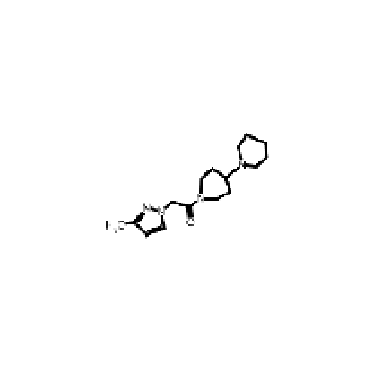 Cc1[c]cn(CC(=O)N2CCC(N3CCCCC3)CC2)n1